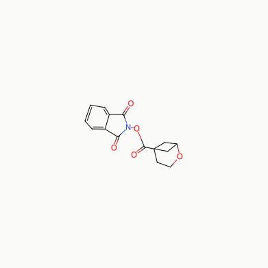 O=C1c2ccccc2C(=O)N1OC(=O)C12CCOC(C1)C2